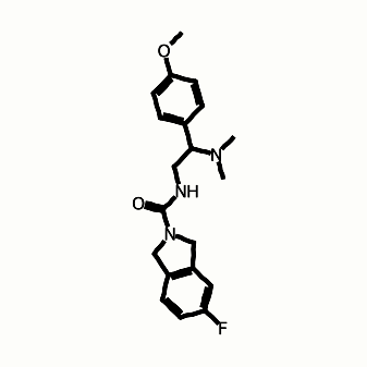 COc1ccc(C(CNC(=O)N2Cc3ccc(F)cc3C2)N(C)C)cc1